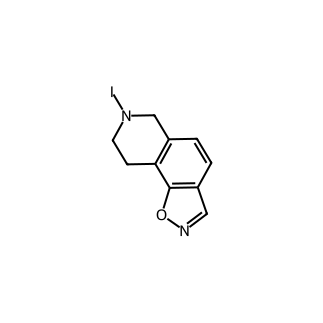 IN1CCc2c(ccc3cnoc23)C1